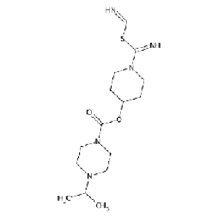 CC(C)N1CCN(C(=O)OC2CCN(C(=N)SC=N)CC2)CC1